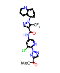 COC(=O)c1cnn(-c2ncc(NC(=O)c3cnn(-c4cccc5ncccc45)c3C(F)(F)F)cc2Cl)n1